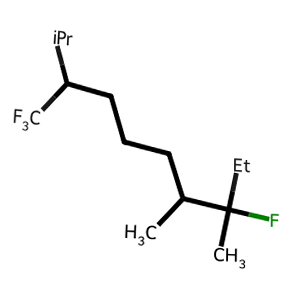 CCC(C)(F)C(C)CCCC(C(C)C)C(F)(F)F